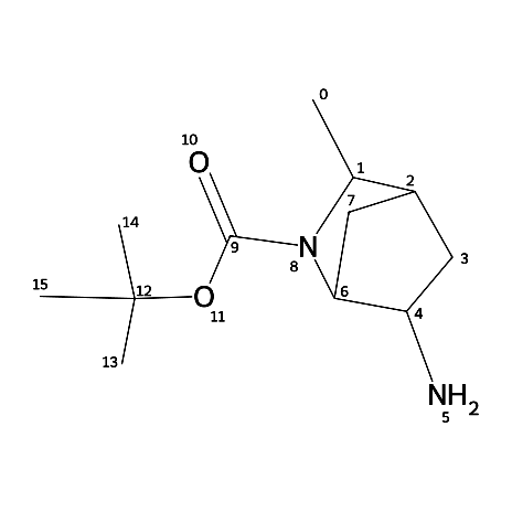 CC1C2CC(N)C(C2)N1C(=O)OC(C)(C)C